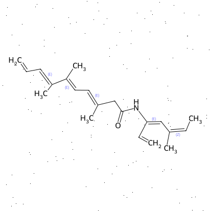 C=C/C=C(C)/C(C)=C/C=C(\C)CC(=O)N/C(C=C)=C/C(C)=C\C